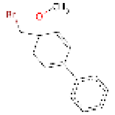 COC1(CBr)C=CC(c2ccccc2)=CC1